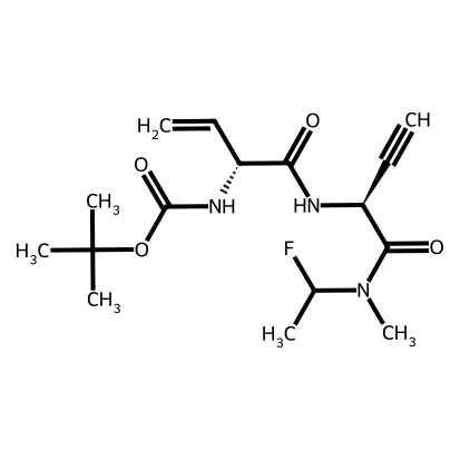 C#C[C@H](NC(=O)[C@@H](C=C)NC(=O)OC(C)(C)C)C(=O)N(C)C(C)F